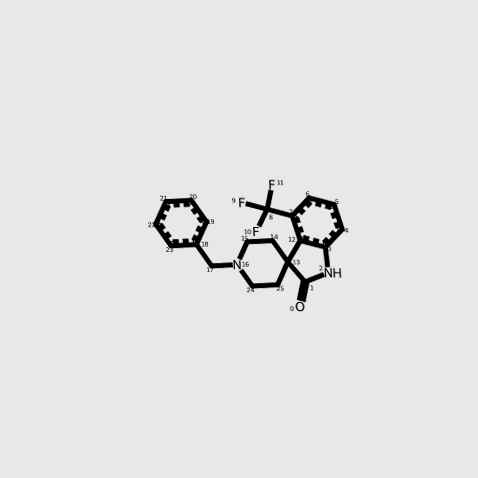 O=C1Nc2cccc(C(F)(F)F)c2C12CCN(Cc1ccccc1)CC2